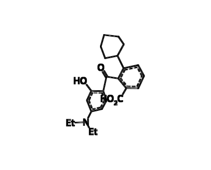 CCN(CC)c1ccc(C(=O)c2c(C(=O)O)cccc2C2CCCCC2)c(O)c1